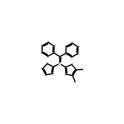 CC1=C(C)C[C]([Zr]([C]2=CC=CC2)=[C](c2ccccc2)c2ccccc2)=C1